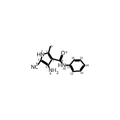 Cc1[nH]c(C#N)c(N)c1C(=O)Nc1ccccc1